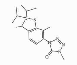 Cc1c(-n2nnn(C)c2=O)ccc2c1S[Si](C(C)C)(C(C)C)C2C